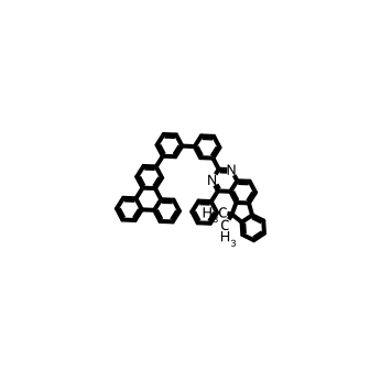 CC1(C)c2ccccc2-c2ccc3nc(-c4cccc(-c5cccc(-c6ccc7c8ccccc8c8ccccc8c7c6)c5)c4)nc(-c4ccccc4)c3c21